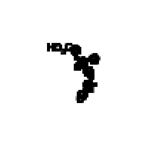 Cc1nc(C2CCOCC2)ccc1CN1CCC(N2C(=O)N(Cc3cccc(C(=O)O)c3)CC2c2ccccc2)CC1